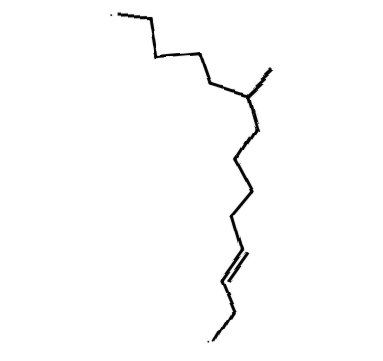 [CH2]C/C=C/CCCCC(C)CCCC[CH2]